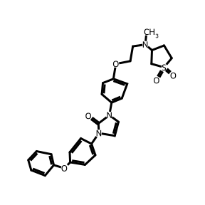 CN(CCOc1ccc(-n2ccn(-c3ccc(Oc4ccccc4)cc3)c2=O)cc1)C1CCS(=O)(=O)C1